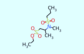 CCCS(=O)(=O)N(C)C(C)CS(=O)(=O)OCC